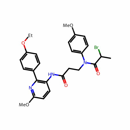 CCOc1ccc(-c2nc(OC)ccc2NC(=O)CCN(C(=O)C(C)Br)c2ccc(OC)cc2)cc1